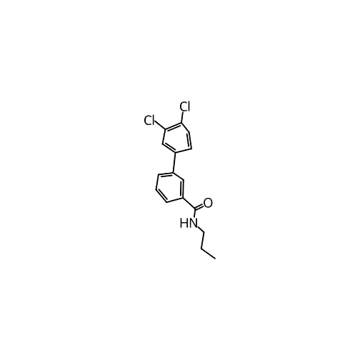 CCCNC(=O)c1cccc(-c2ccc(Cl)c(Cl)c2)c1